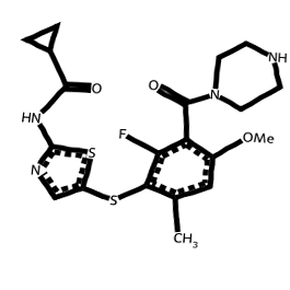 COc1cc(C)c(Sc2cnc(NC(=O)C3CC3)s2)c(F)c1C(=O)N1CCNCC1